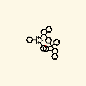 C1=CC(C2(c3ccccc3)c3ccccc3-c3c2ccc2ccccc32)CC=C1c1c(-c2nc(-c3ccccc3)nc(-c3ccccc3)n2)ccc2ccccc12